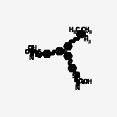 Cc1cc(/C=C/C=C/c2ccc(N(c3ccc(/C=C/c4ccc(-c5ccc(/C=C(/C#N)OCO)s5)cc4)cc3)c3ccc(/C=C/c4ccc(-c5ccc(/C=C(\C#N)C(=O)O)s5)cc4)cc3)cc2)cc(C)c1C